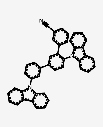 N#Cc1cccc(-c2cc(-c3cccc(-n4c5ccccc5c5ccccc54)c3)ccc2-n2c3ccccc3c3ccccc32)c1